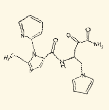 Cc1ncc(C(=O)NC(Cn2cccc2)C(=O)C(N)=O)n1-c1ccccn1